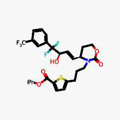 CC(C)OC(=O)c1ccc(CCCN2C(=O)OCC[C@@H]2/C=C/[C@@H](O)C(F)(F)c2cccc(C(F)(F)F)c2)s1